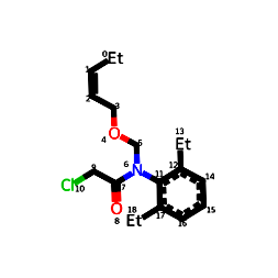 CC/C=C\COCN(C(=O)CCl)c1c(CC)cccc1CC